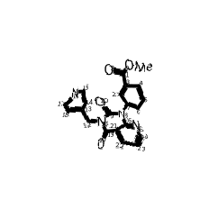 COC(=O)c1cccc(-n2c(=O)n(Cc3ccncc3)c(=O)c3cccnc32)c1